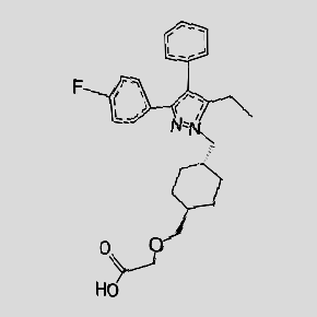 CCc1c(-c2ccccc2)c(-c2ccc(F)cc2)nn1C[C@H]1CC[C@H](COCC(=O)O)CC1